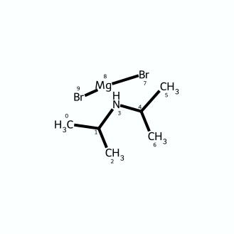 CC(C)NC(C)C.[Br][Mg][Br]